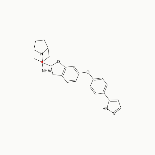 CC(=O)NC1CC2CCC(C1)N2CC1Cc2ccc(Oc3ccc(-c4ccn[nH]4)cc3)cc2O1